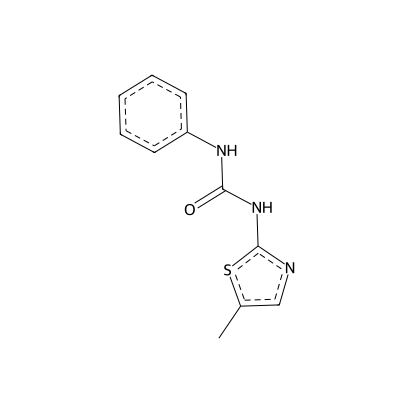 Cc1cnc(NC(=O)Nc2ccccc2)s1